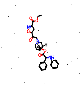 CCOC(=O)C1=NOC(C(=O)C[N+]23CCC(CC2)[C@@H](OC(=O)C(Nc2ccccc2)c2ccccc2)C3)C1